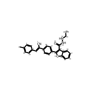 Cc1ccc(C=C(C#N)c2ccc(-c3oc4ccccc4c3C(=O)NNCC(C)C)cc2)cc1